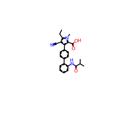 CCc1c(C#N)c(-c2ccc(-c3ccccc3NC(=O)C(C)C)cc2)c(C(=O)O)n1C